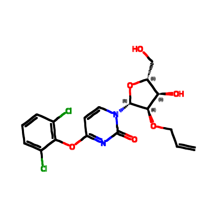 C=CCO[C@@H]1[C@H](O)[C@@H](CO)O[C@H]1n1ccc(Oc2c(Cl)cccc2Cl)nc1=O